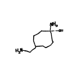 NCC1CCC(N)(O)CC1